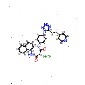 Cl.O=C1CC(=O)N(c2ccc(-n3nnnc3CCc3ccncc3)cc2)c2ccc3ccccc3c2N1